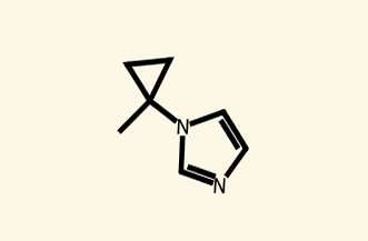 CC1(n2ccnc2)CC1